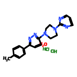 Cc1ccc(-c2ccc(N3CCN(c4ncccn4)CC3)nn2)cc1.Cl.Cl.O